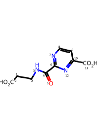 O=C(O)CCNC(=O)c1nccc(C(=O)O)n1